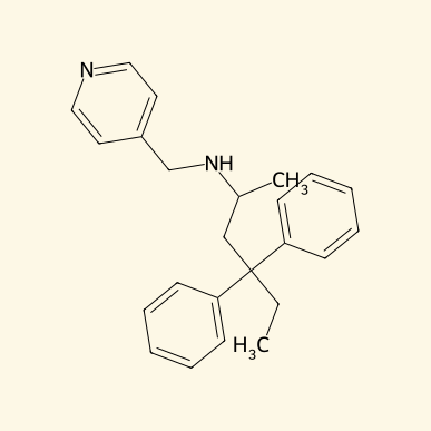 CCC(CC(C)NCc1ccncc1)(c1ccccc1)c1ccccc1